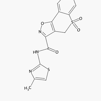 Cc1csc(NC(=O)c2noc3c2CS(=O)(=O)c2ccccc2-3)n1